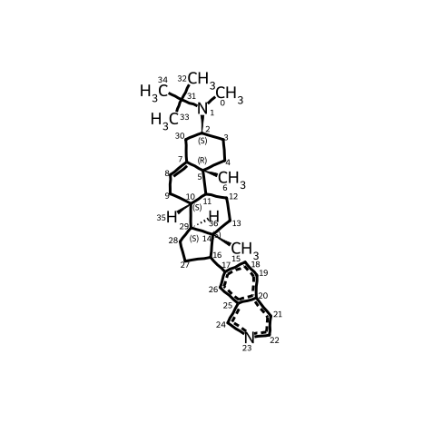 CN([C@H]1CC[C@@]2(C)C(=CC[C@@H]3C2CC[C@]2(C)C(c4ccc5ccncc5c4)CC[C@@H]32)C1)C(C)(C)C